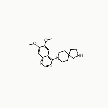 COc1cc2ncnc(N3CCC4(CCNC4)CC3)c2cc1OC